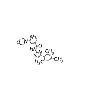 Cc1cc(C)c(-c2csc(NC(=O)c3ccnc(N4CCOCC4)c3)n2)c(C)c1